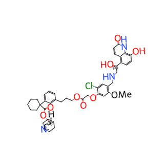 COc1cc(OCC(=O)OCCCc2cccc(C3(C(=O)O[C@H]4CN5CCC4CC5)CCCCC3)c2)c(Cl)cc1CNC[C@@H](O)c1ccc(O)c2[nH]c(=O)ccc12